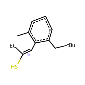 CC/C(S)=C\c1c(C)cccc1CC(C)(C)C